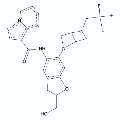 O=C(Nc1cc2c(cc1N1CC3C1CN3CC(F)(F)F)OC(CO)C2)c1cnn2cccnc12